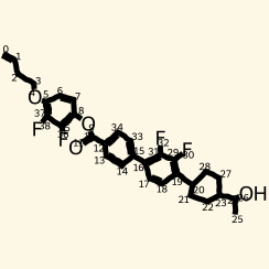 C=CCCOc1ccc(OC(=O)c2ccc(-c3ccc(C4CCC(C(C)O)CC4)c(F)c3F)cc2)c(F)c1F